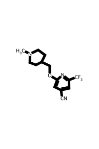 CN1CCC(COc2cc(C#N)cc(C(F)(F)F)n2)CC1